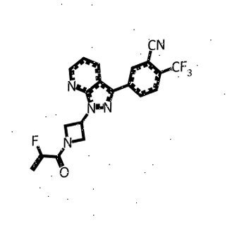 C=C(F)C(=O)N1CC(n2nc(-c3ccc(C(F)(F)F)c(C#N)c3)c3cccnc32)C1